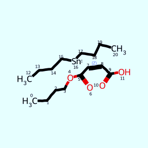 CCCCOC(=O)/C=C\C(=O)O.CCC[CH2][Sn][CH2]CCC